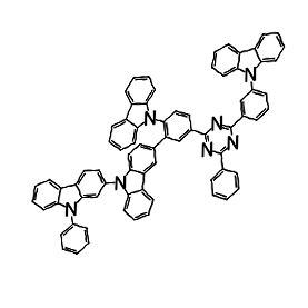 c1ccc(-c2nc(-c3cccc(-n4c5ccccc5c5ccccc54)c3)nc(-c3ccc(-n4c5ccccc5c5ccccc54)c(-c4ccc5c(c4)c4ccccc4n5-c4ccc5c6ccccc6n(-c6ccccc6)c5c4)c3)n2)cc1